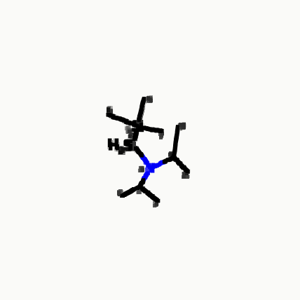 CC(C)N([SiH2][Si](C)(C)C)C(C)C